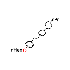 CCCCCCOc1ccc(CCC2=CCC([C@H]3CC[C@H](CCC)CC3)CC2)cc1